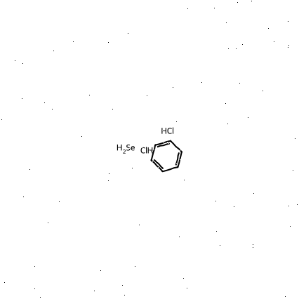 Cl.Cl.[SeH2].c1ccccc1